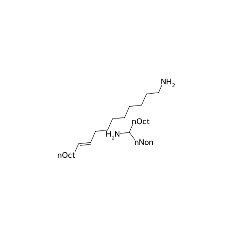 CCCCCCCCC=CCCCCCCCCN.CCCCCCCCCC(N)CCCCCCCC